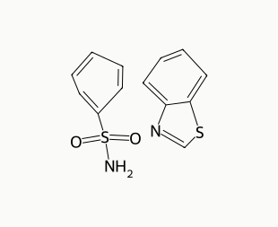 NS(=O)(=O)c1ccccc1.c1ccc2scnc2c1